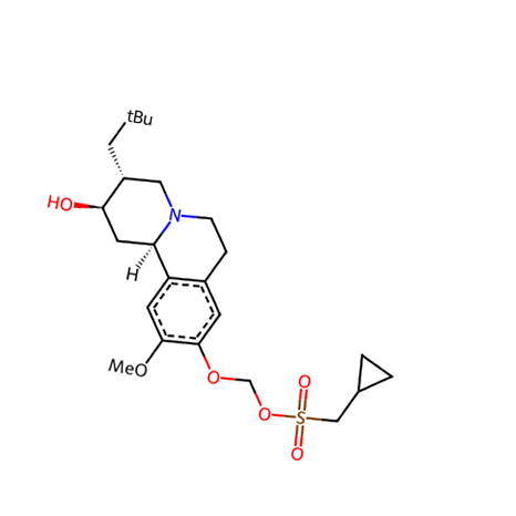 COc1cc2c(cc1OCOS(=O)(=O)CC1CC1)CCN1C[C@@H](CC(C)(C)C)[C@H](O)C[C@H]21